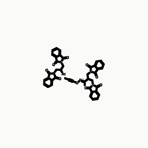 CC#CO/N=C(\C)C(CN1C(=O)c2ccccc2C1=O)CN1C(=O)c2ccccc2C1=O.CC(=O)C(CN1C(=O)c2ccccc2C1=O)CN1C(=O)c2ccccc2C1=O